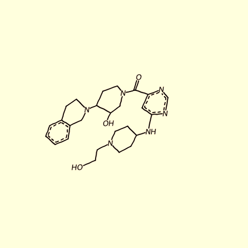 O=C(c1cc(NC2CCN(CCO)CC2)ncn1)N1CCC(N2CCc3ccccc3C2)C(O)C1